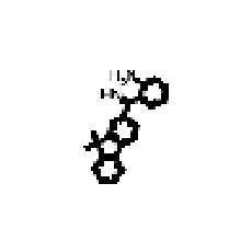 CC1(C)c2ccccc2-c2ccc(C(=N)c3ccccc3N)cc21